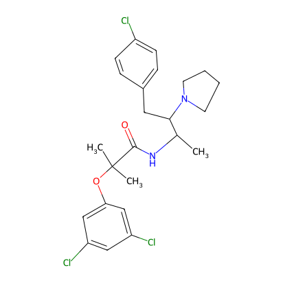 CC(NC(=O)C(C)(C)Oc1cc(Cl)cc(Cl)c1)C(Cc1ccc(Cl)cc1)N1CCCC1